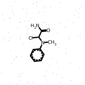 CN(c1ccccc1)C(Cl)C(N)=O